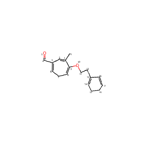 CC1=CC(C=O)=CCC=C1OCCC1=CCCC=C1